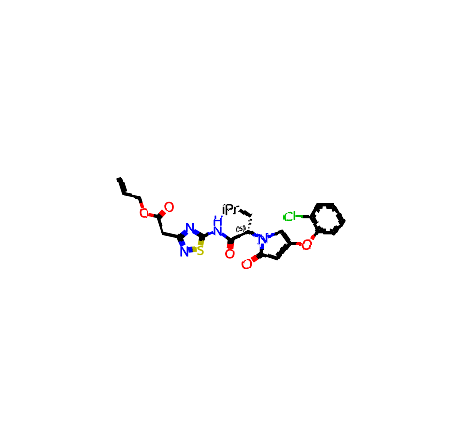 C=CCOC(=O)Cc1nsc(NC(=O)[C@H](CC(C)C)N2CC(Oc3ccccc3Cl)=CC2=O)n1